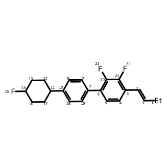 CCC=Cc1ccc(-c2ccc(C3CCC(F)CC3)cc2)c(F)c1F